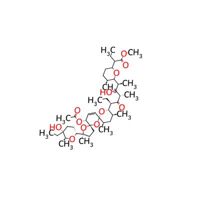 CCC(C(=O)OC)C1CC[C@H](C)C([C@@H](C)[C@H](O)[C@H](C)C(=O)[C@H](CC)[C@H]2O[C@]3(C=C[C@@H](OC(C)=O)[C@]4(CC[C@@](C)([C@H]5CC[C@](O)(CC)[C@H](C)O5)O4)O3)[C@H](C)C[C@@H]2C)O1